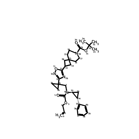 C=CCOC(=O)N(CC1(c2noc(C3CC4(CCN(C(=O)OC(C)(C)C)CC4)C3)n2)CC1)[C@H]1C[C@@H]1c1ccccc1